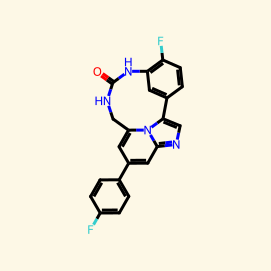 O=C1NCc2cc(-c3ccc(F)cc3)cc3ncc(n23)-c2ccc(F)c(c2)N1